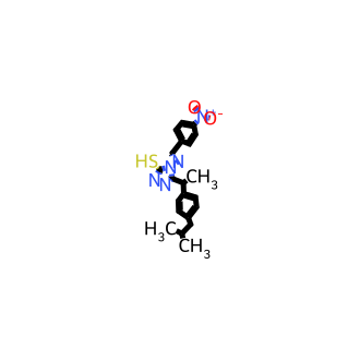 CC(C)Cc1ccc(C(C)c2nnc(S)n2/N=C/c2ccc([N+](=O)[O-])cc2)cc1